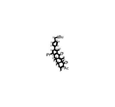 CC(=O)C1=C(C)CC2(C)CC3(C)Cc4c(C(C)C)cc(-c5ccc(CC(C)(C)C)cc5)c(C)c4C(=O)C3=C(C)C2(C)C1=O